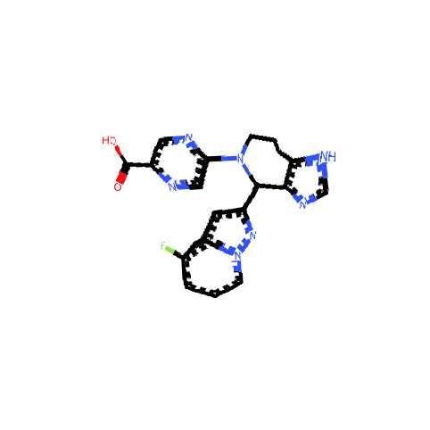 O=C(O)c1cnc(N2CCc3[nH]cnc3C2c2cc3c(F)cccn3n2)cn1